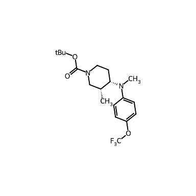 C[C@@H]1CN(C(=O)OC(C)(C)C)CC[C@@H]1N(C)c1ccc(OC(F)(F)F)cc1